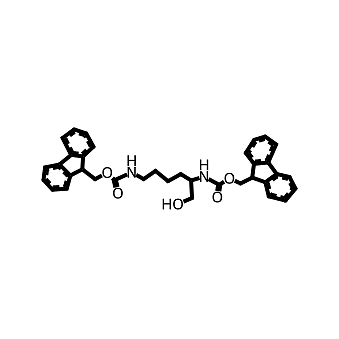 O=C(NCCCCC(CO)NC(=O)OCC1c2ccccc2-c2ccccc21)OCC1c2ccccc2-c2ccccc21